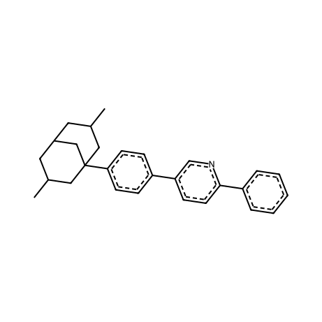 CC1CC2CC(C)CC(c3ccc(-c4ccc(-c5ccccc5)nc4)cc3)(C1)C2